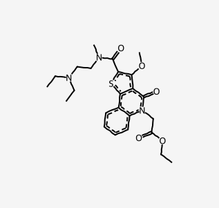 CCOC(=O)Cn1c(=O)c2c(OC)c(C(=O)N(C)CCN(CC)CC)sc2c2ccccc21